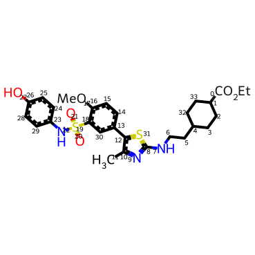 CCOC(=O)C1CCC(CCNc2nc(C)c(-c3ccc(OC)c(S(=O)(=O)Nc4ccc(O)cc4)c3)s2)CC1